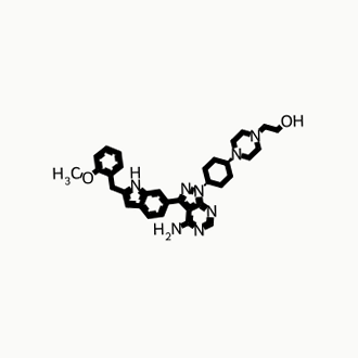 COc1ccccc1Cc1cc2ccc(-c3nn([C@H]4CC[C@H](N5CCN(CCO)CC5)CC4)c4ncnc(N)c34)cc2[nH]1